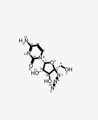 [N-]=[N+]=N[C@]1(CO)O[C@@H](n2ccc(N)nc2=O)[C@@H](O)[C@@H]1O